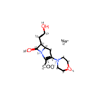 O=C([O-])C1=C(N2CCOCC2)CC2C(CCO)C(=O)N12.[Na+]